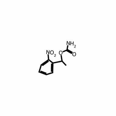 CC(OC(N)=O)c1ccccc1[N+](=O)[O-]